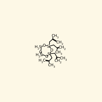 C=C(C)C[Si]1(CC(=C)C)O[SiH2]O[SiH2]O[Si](CC(=C)C)(CC(=C)C)O1